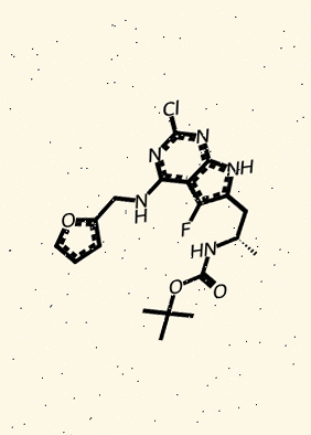 C[C@@H](Cc1[nH]c2nc(Cl)nc(NCc3ccco3)c2c1F)NC(=O)OC(C)(C)C